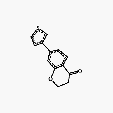 O=C1CCOc2cc(-c3ccsc3)ccc21